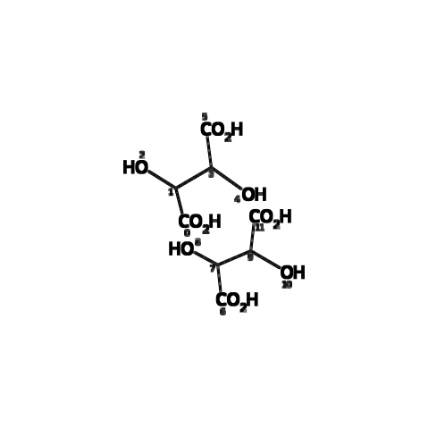 O=C(O)C(O)C(O)C(=O)O.O=C(O)C(O)C(O)C(=O)O